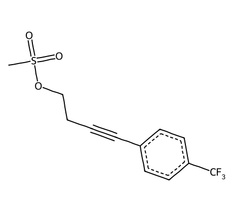 CS(=O)(=O)OCCC#Cc1ccc(C(F)(F)F)cc1